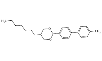 CCCCCCCC1COC(c2ccc(-c3ccc(C)cc3)cc2)OC1